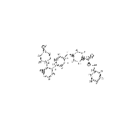 O=C1CCN(c2ncccc2-c2ccc(CN3CCN(C(=O)OCc4ccccc4)CC3)cn2)CC1